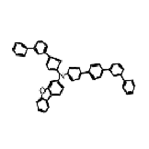 c1ccc(-c2cccc(-c3ccc(-c4ccc(N(c5ccc(-c6cccc(-c7ccccc7)c6)cc5)c5ccc6c(c5)oc5ccccc56)cc4)cc3)c2)cc1